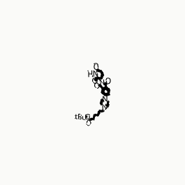 CC(C)(C)OC(=O)CCCCCN1CCN(c2ccc3c(c2)C(=O)N(C2CCC(=O)NC2=O)C3=O)CC1